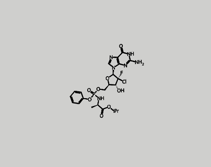 CC(C)OC(=O)[C@@H](C)NP(=O)(OC[C@H]1O[C@@H](n2cnc3c(=O)[nH]c(N)nc32)[C@@](F)(Cl)[C@@H]1O)Oc1ccccc1